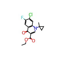 CCOC(=O)c1cn(C2(C)CC2)c2cc(Cl)c(F)cc2c1=O